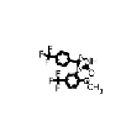 COc1ccc(C(F)(F)F)cc1-n1c(-c2ccc(C(F)(F)F)cc2)n[nH]c1=O